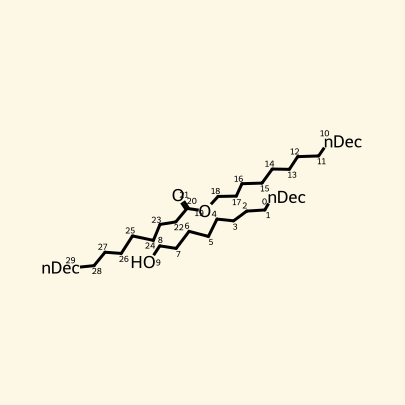 CCCCCCCCCCCCCCCCCCO.CCCCCCCCCCCCCCCCCCOC(=O)CCCCCCCCCCCCCCCCC